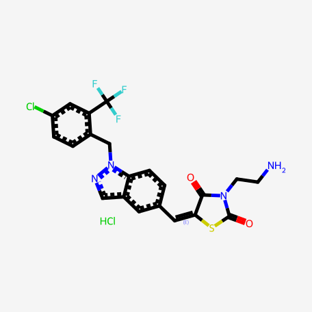 Cl.NCCN1C(=O)S/C(=C/c2ccc3c(cnn3Cc3ccc(Cl)cc3C(F)(F)F)c2)C1=O